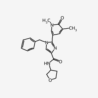 Cc1cc(-c2nc(C(=O)NC3CCOC3)cn2Cc2ccccc2)cn(C)c1=O